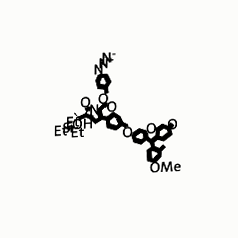 CC[Si](CC)(CC)O[C@H](C)[C@H]1C(=O)N2C(C(=O)OCc3ccc(N=[N+]=[N-])cc3)=C(c3ccc(COc4ccc5c(-c6ccc(OC)cc6C)c6ccc(=O)cc-6oc5c4)cc3)C[C@H]12